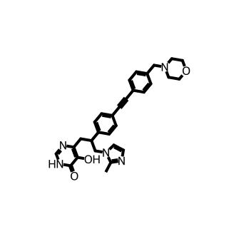 Cc1nccn1CC(Cc1nc[nH]c(=O)c1O)c1ccc(C#Cc2ccc(CN3CCOCC3)cc2)cc1